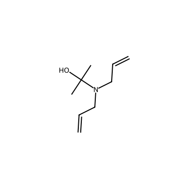 C=CCN(CC=C)C(C)(C)O